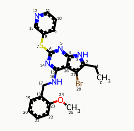 CCc1[nH]c2nc(Sc3cccnc3)nc(NCc3ccccc3OC)c2c1Br